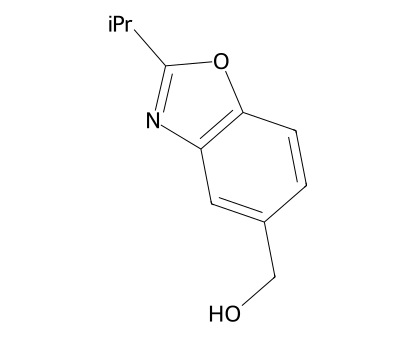 CC(C)c1nc2cc(CO)ccc2o1